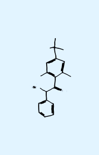 Cc1cc(C(C)(C)C)cc(C)c1C(=O)C(P=O)c1ccccc1